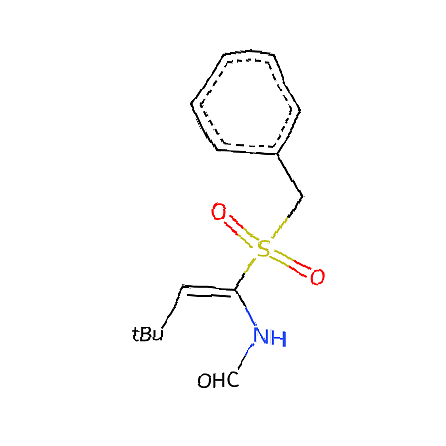 CC(C)(C)C=C(NC=O)S(=O)(=O)Cc1ccccc1